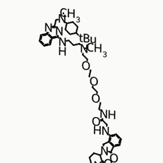 CN(CCCNc1nc(CN(C)C2CCC(C(C)(C)C)CC2)nc2ccccc12)CCOCCOCCOCCNC(=O)CNc1cccc2c1CN(C1CCC(=O)NC1=O)C2=O